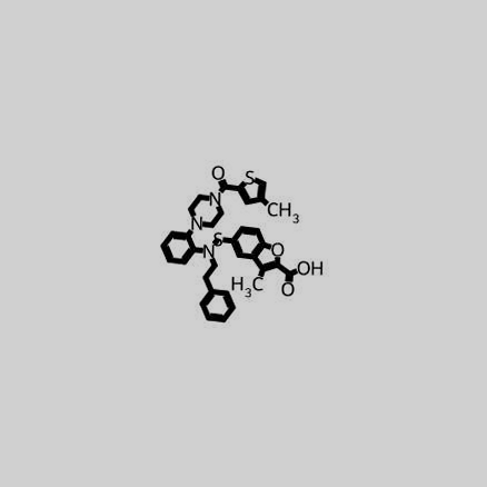 Cc1csc(C(=O)N2CCN(c3ccccc3N(CCc3ccccc3)Sc3ccc4oc(C(=O)O)c(C)c4c3)CC2)c1